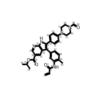 C=CC(=O)Nc1cc(-c2c(-c3ccc(N4CCN(C=O)CC4)cc3)[nH]c3ncc(C(=O)OC(C)C)cc23)ccc1C